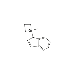 C[Si]1([C]2C=Cc3ccccc32)CCC1